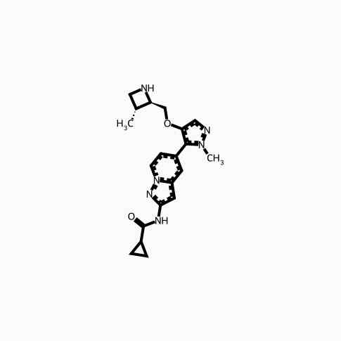 C[C@@H]1CN[C@H]1COc1cnn(C)c1-c1ccn2nc(NC(=O)C3CC3)cc2c1